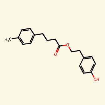 Cc1ccc(CCCC(=O)OCCc2ccc(O)cc2)cc1